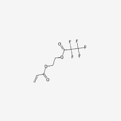 C=CC(=O)OCCOC(=O)C(F)(F)C(F)(F)F